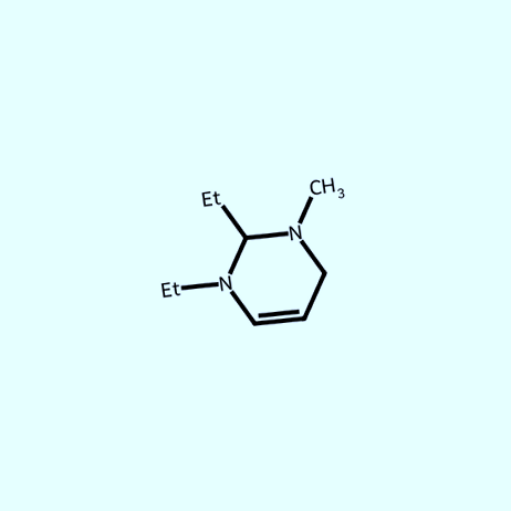 CCC1N(C)CC=CN1CC